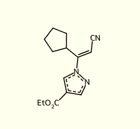 CCOC(=O)c1cnn(C(=CC#N)C2CCCC2)c1